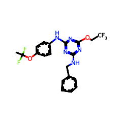 CC(F)(F)Oc1ccc(Nc2nc(NCc3ccccc3)nc(OCC(F)(F)F)n2)cc1